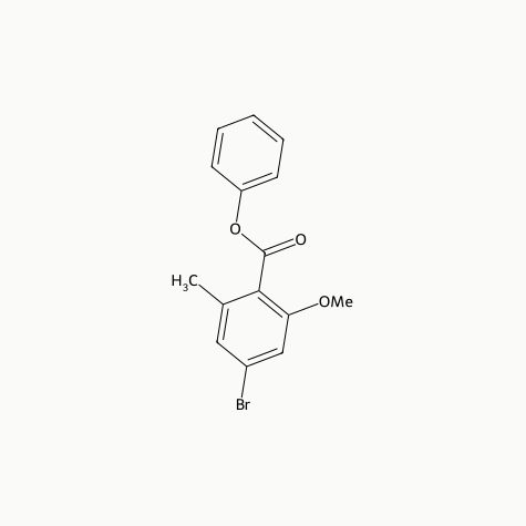 COc1cc(Br)cc(C)c1C(=O)Oc1ccccc1